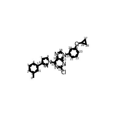 Cc1cccc(-c2ccn(-c3nc(Cl)nc4c3ncn4-c3cccc(OC4CC4)c3)n2)c1